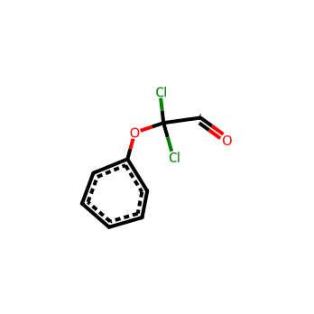 O=[C]C(Cl)(Cl)Oc1ccccc1